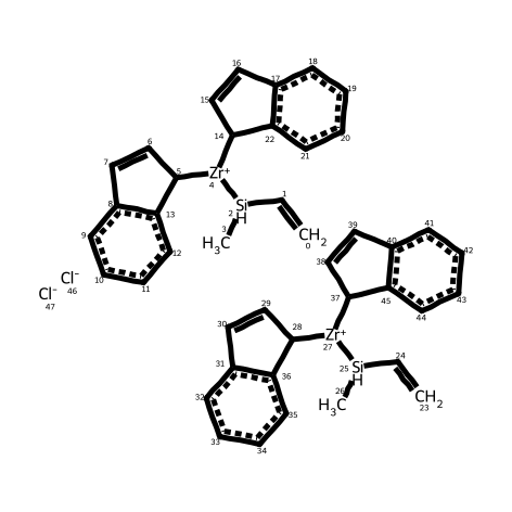 C=C[SiH](C)[Zr+]([CH]1C=Cc2ccccc21)[CH]1C=Cc2ccccc21.C=C[SiH](C)[Zr+]([CH]1C=Cc2ccccc21)[CH]1C=Cc2ccccc21.[Cl-].[Cl-]